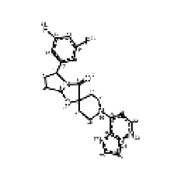 O=C1N2C(CCC2c2cc(F)cc(F)c2)OC12CCN(c1ccnn3ccnc13)CC2